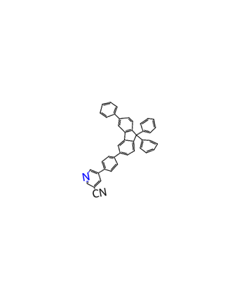 N#Cc1cncc(-c2ccc(-c3ccc4c(c3)-c3cc(-c5ccccc5)ccc3C4(c3ccccc3)c3ccccc3)cc2)c1